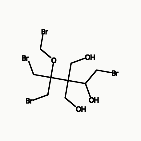 OCC(CO)(C(O)CBr)C(CBr)(CBr)OCBr